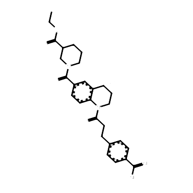 CCOC(=O)C1CCCN(C(=O)c2ccc3c(c2)CCCN3C(=O)CCc2ccc(C(=N)N)cc2)C1.Cl